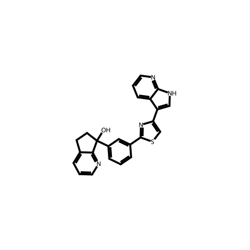 OC1(c2cccc(-c3nc(-c4c[nH]c5ncccc45)cs3)c2)CCc2cccnc21